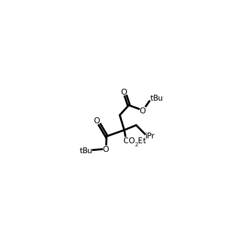 CCOC(=O)C(CC(=O)OC(C)(C)C)(CC(C)C)C(=O)OC(C)(C)C